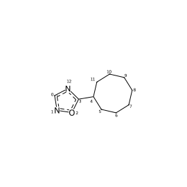 [c]1noc(C2CCCCCCC2)n1